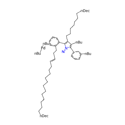 CCCCCCCCCCCCCCCCCCCCCCC=CCCc1ccccc1C1=C(CCCCCCCCCCCCCCCCC)C(CCCC)=C(c2cccc(CCCC)c2)[N+]1=[N-].CCC[CH2][Pd][CH2]CCC